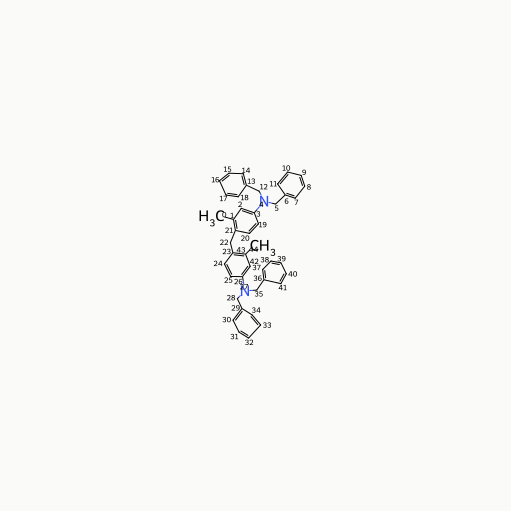 Cc1cc(N(Cc2ccccc2)Cc2ccccc2)ccc1Cc1ccc(N(Cc2ccccc2)Cc2ccccc2)cc1C